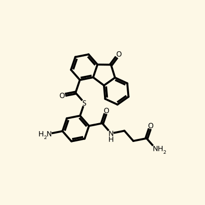 NC(=O)CCNC(=O)c1ccc(N)cc1SC(=O)c1cccc2c1-c1ccccc1C2=O